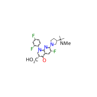 CNC(C)(C)[C@@H]1CCN(c2nc3c(cc2F)c(=O)c(C(=O)O)cn3-c2ccc(F)cc2F)C1